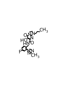 CCCCN1CCn2c1nc(C(=O)NCc1ccc(F)cc1-n1cnc(C)n1)c(O)c2=O